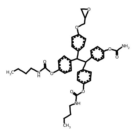 CCCCNC(=O)Oc1ccc(C(c2ccc(OCC3CO3)cc2)C(c2ccc(OC(N)=O)cc2)c2ccc(OC(=O)NCCCC)cc2)cc1